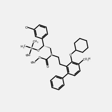 CC(C)(C)OC(=O)N(CCc1c(-c2ccccc2)ccc(C(=O)O)c1OC1CCCCC1)C[C@H](O[Si](C)(C)C(C)(C)C)c1cccc(Cl)c1